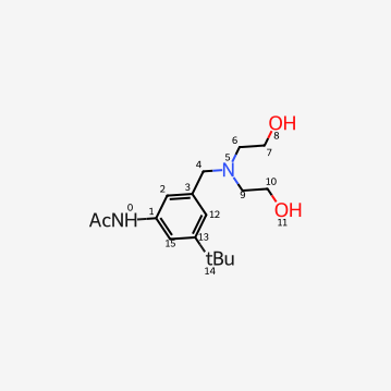 CC(=O)Nc1cc(CN(CCO)CCO)cc(C(C)(C)C)c1